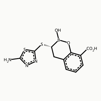 Nc1nnc(S[C@H]2Cc3cccc(C(=O)O)c3OB2O)s1